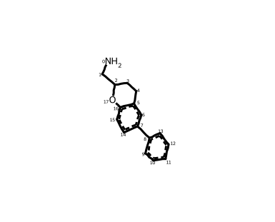 NCC1CCc2cc(-c3ccccc3)ccc2O1